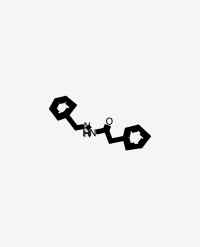 O=C(Cc1ccccc1)NNCc1ccccc1